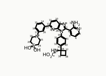 Nc1ncccc1-c1nc2ccc(-c3cccc(N4CCS(O)(O)CC4)c3)nc2n1-c1ccc(C2(NC(=O)O)CCC2)cc1